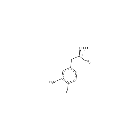 CCOC(=O)[C@@H](C)Cc1ccc(F)c(N)c1